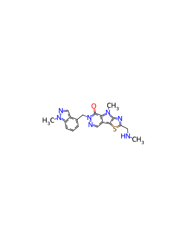 CNCc1nc2c(s1)c1cnn(Cc3cccc4c3cnn4C)c(=O)c1n2C